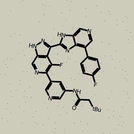 CC(C)(C)CC(=O)Nc1cncc(-c2ncc3[nH]nc(-c4nc5c(-c6ccc(F)cc6)cncc5[nH]4)c3c2F)c1